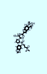 CN(C)C(=O)CCN(C(=O)[C@@H]1CCCN1C(=O)C(NC(=O)c1cc2cc(C(F)(F)P(=O)(O)O)ccc2s1)C(C)(C)C)c1ccc2scnc2c1